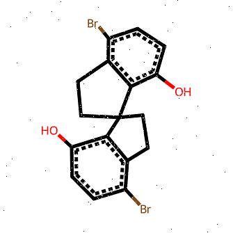 Oc1ccc(Br)c2c1C1(CC2)CCc2c(Br)ccc(O)c21